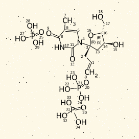 C=CC[C@]1(n2cc(C)c(=O)[nH]c2=O)C[C@H](O)[C@@H](CO)O1.O=P(O)(O)O.O=P(O)(O)O.O=P(O)(O)O